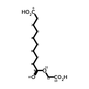 O=C(O)CCCCCCCCC(=O)OCC(=O)O